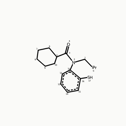 CC(C)CN(C(=O)C1CCCCC1)c1ccccc1S